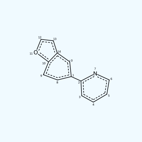 [c]1c(-c2ccccn2)ccc2occc12